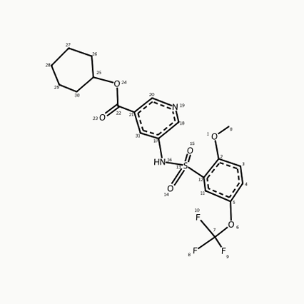 COc1ccc(OC(F)(F)F)cc1S(=O)(=O)Nc1cncc(C(=O)OC2CCCCC2)c1